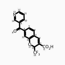 O=C(O)C1=Cc2ccc(C(=O)c3cccnc3)cc2OC1C(F)(F)F